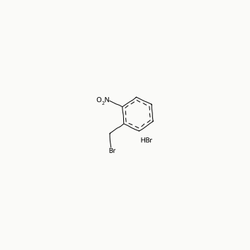 Br.O=[N+]([O-])c1ccccc1CBr